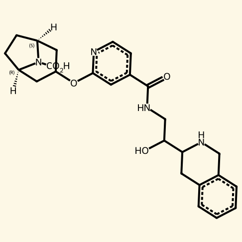 O=C(NCC(O)C1Cc2ccccc2CN1)c1ccnc(OC2C[C@H]3CC[C@@H](C2)N3C(=O)O)c1